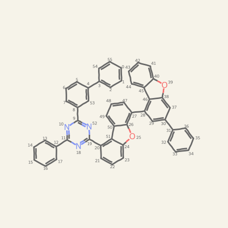 c1ccc(-c2cccc(-c3nc(-c4ccccc4)nc(-c4cccc5oc6c(-c7cc(-c8ccccc8)cc8oc9ccccc9c78)cccc6c45)n3)c2)cc1